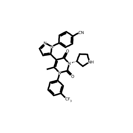 Cc1c(-c2ccnn2-c2ccc(C#N)cc2)c(=O)n([C@@H]2CCNC2)c(=O)n1-c1cccc(C(F)(F)F)c1